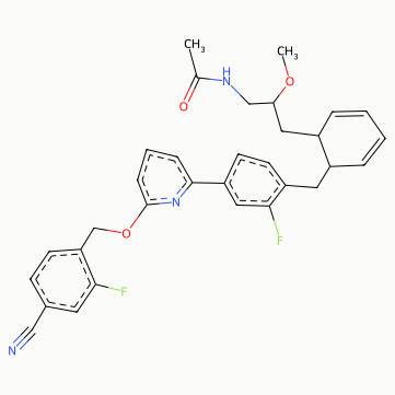 COC(CNC(C)=O)CC1C=CC=CC1Cc1ccc(-c2cccc(OCc3ccc(C#N)cc3F)n2)cc1F